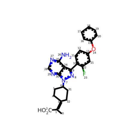 CC(C(=O)O)=C1CCC(n2nc(-c3ccc(Oc4ccccc4)cc3F)c3c(N)ncnc32)CC1